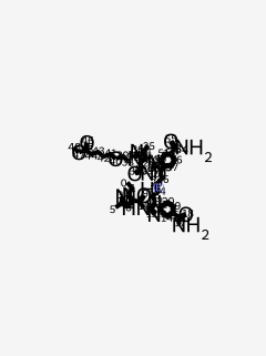 CCn1nc(C)cc1C(=O)Nc1nc2cc(C(N)=O)ccc2n1C/C=C/Cn1c(NC(=O)c2cc(C)nn2CCOCCCCC(=O)OC)nc2cc(C(N)=O)ccc21